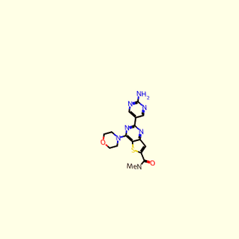 CNC(=O)c1cc2nc(-c3cnc(N)nc3)nc(N3CCOCC3)c2s1